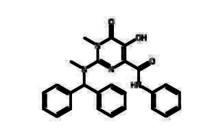 CN(c1nc(C(=O)Nc2ccccc2)c(O)c(=O)n1C)C(c1ccccc1)c1ccccc1